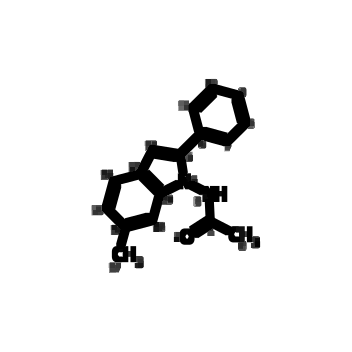 CC(=O)Nn1c(-c2ccccc2)cc2ccc(C)cc21